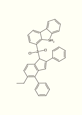 CCc1ccc2c(c1-c1ccccc1)C=C(c1ccccc1)[CH]2[Zr]([Cl])([Cl])[c]1cccc2c1[SiH2]c1ccccc1-2